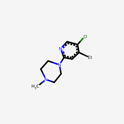 [CH2]Cc1cc(N2CCN(C)CC2)ncc1Cl